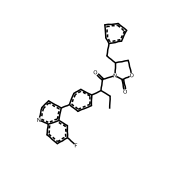 CCC(C(=O)N1C(=O)OCC1Cc1ccccc1)c1ccc(-c2ccnc3ccc(F)cc23)cc1